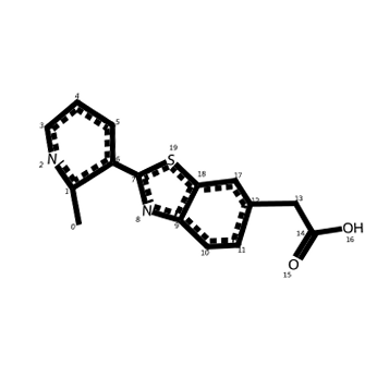 Cc1ncccc1-c1nc2ccc(CC(=O)O)cc2s1